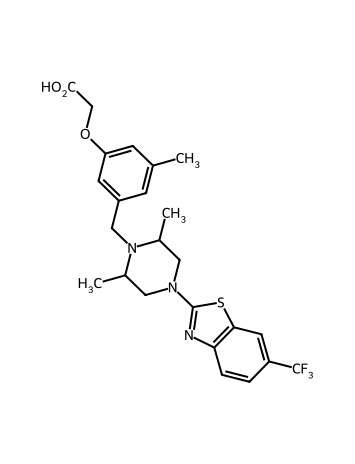 Cc1cc(CN2C(C)CN(c3nc4ccc(C(F)(F)F)cc4s3)CC2C)cc(OCC(=O)O)c1